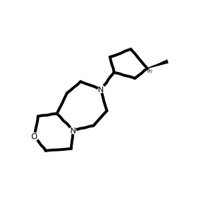 C[C@@H]1CCC(N2CCC3COCCN3CC2)C1